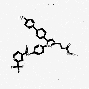 CNC(=O)CCc1cc(-c2ccc(-c3ccc(C)cc3)cc2)n(-c2ccc(NC(=O)c3ccnc(C(F)(F)F)c3)cc2)n1